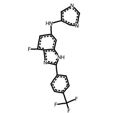 Fc1cc(Nc2cncnc2)cc2[nH]c(-c3ccc(C(F)(F)F)cc3)nc12